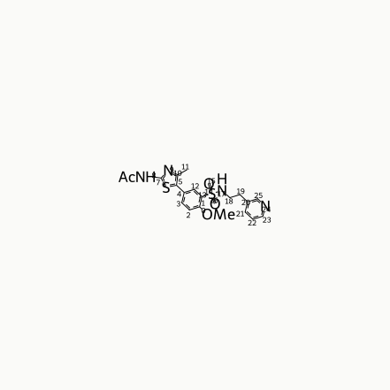 COc1ccc(-c2sc(NC(C)=O)nc2C)cc1S(=O)(=O)NCCc1cccnc1